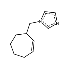 C1=CC(Cn2ccnc2)CCCC1